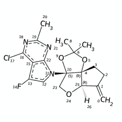 C=C1CC[C@]23OC(C)(C)O[C@@]2(n2cc(F)c4c(Cl)nc(C)nc42)CO[C@H]13